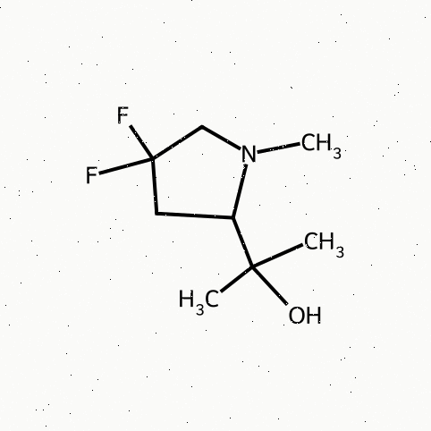 CN1CC(F)(F)CC1C(C)(C)O